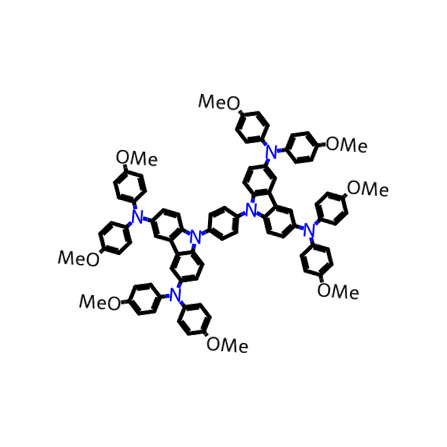 COc1ccc(N(c2ccc(OC)cc2)c2ccc3c(c2)c2cc(N(c4ccc(OC)cc4)c4ccc(OC)cc4)ccc2n3-c2ccc(-n3c4ccc(N(c5ccc(OC)cc5)c5ccc(OC)cc5)cc4c4cc(N(c5ccc(OC)cc5)c5ccc(OC)cc5)ccc43)cc2)cc1